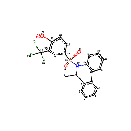 CC1c2ccccc2-c2ccccc2N1S(=O)(=O)c1ccc(O)c(C(F)(F)F)c1